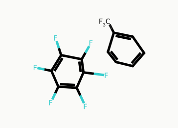 FC(F)(F)c1ccccc1.Fc1c(F)c(F)c(F)c(F)c1F